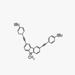 Cn1c2ccc(C#Cc3ccc(C(C)(C)C)cc3)cc2c2cc(C#CC3C=CC(C(C)(C)C)=CC3)ccc21